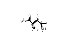 CCCC(=O)/C(N)=C(\Cl)C(C)=N